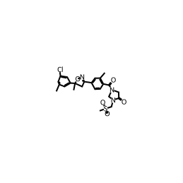 Cc1cc(Cl)cc(C2(C)CC(c3ccc(C(=O)N4CC(=O)N(CS(C)(=O)=O)C4)c(C)c3)=NO2)c1